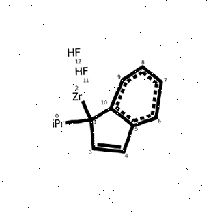 CC(C)[C]1([Zr])C=Cc2ccccc21.F.F